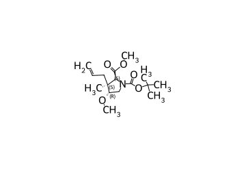 C=CC[C@]1(C)[C@@H](OC)CN(C(=O)OC(C)(C)C)[C@@H]1C(=O)OC